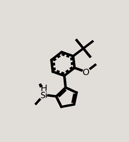 COc1c(C2=C([SiH](C)C)CC=C2)cccc1C(C)(C)C